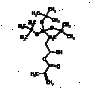 C=C(C)C(=O)OC(O)CC[Si](O[Si](C)(C)C)(O[Si](C)(C)C)O[Si](C)(C)C